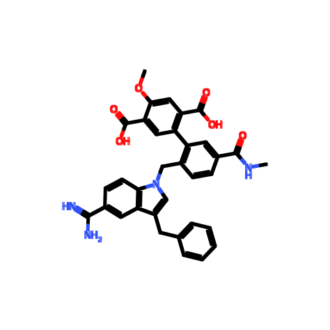 CNC(=O)c1ccc(Cn2cc(Cc3ccccc3)c3cc(C(=N)N)ccc32)c(-c2cc(C(=O)O)c(OC)cc2C(=O)O)c1